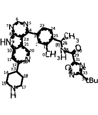 Cc1cc(-c2ncnc3[nH]c4cc(C5CCNCC5)ncc4c23)ccc1[C@@H](C)NC(=O)c1nc(C(C)(C)C)no1